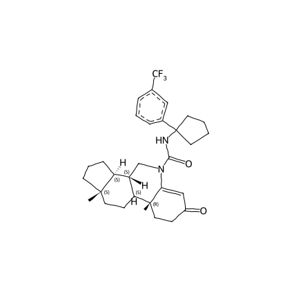 C[C@@]12CCC[C@H]1[C@@H]1CN(C(=O)NC3(c4cccc(C(F)(F)F)c4)CCCC3)C3=CC(=O)CC[C@]3(C)[C@H]1CC2